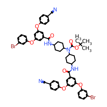 CC(C)(C)OC(=O)N(C1CCC(NC(=O)c2cc(Oc3ccc(C#N)cc3)cc(Oc3cccc(Br)c3)c2)CC1)C1CCC(NC(=O)c2cc(Oc3ccc(C#N)cc3)cc(Oc3cccc(Br)c3)c2)CC1